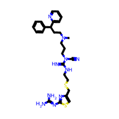 CN(CCCN(C#N)C(=N)NCCSCc1csc(N=C(N)N)n1)CCC(c1ccccc1)c1ccccn1